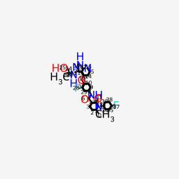 Cc1ccc(C(=O)Nc2ccc(Oc3ccnc4[nH]nc(N[C@H](C)CO)c34)c(F)c2)c(=O)n1-c1ccc(F)cc1